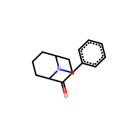 O=C1CCC2CCCC1N2Cc1ccccc1